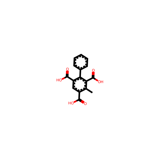 Cc1c(C(=O)O)cc(C(=O)O)c(-c2ccccc2)c1C(=O)O